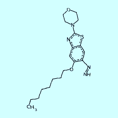 CCCCCCCCOc1cc2nc(N3CCOCC3)sc2cc1N=N